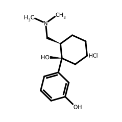 CN(C)C[C@H]1CCCC[C@]1(O)c1cccc(O)c1.Cl